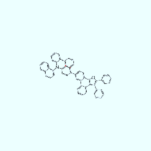 c1ccc(-c2ccccc2N(c2ccc(-c3ccc4c(c3)c3ccccc3c3c(-c5ccccc5)c(-c5ccccc5)oc43)cc2)c2cccc3ccccc23)cc1